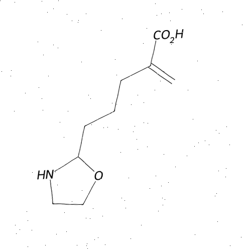 C=C(CCCC1NCCO1)C(=O)O